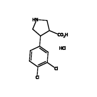 Cl.O=C(O)C1CNCC1c1ccc(Cl)c(Cl)c1